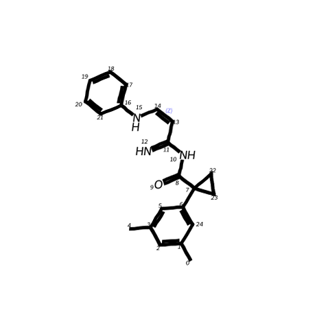 Cc1cc(C)cc(C2(C(=O)NC(=N)/C=C\Nc3ccccc3)CC2)c1